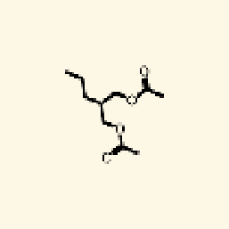 CCCC(COC(C)=O)COC(C)=O